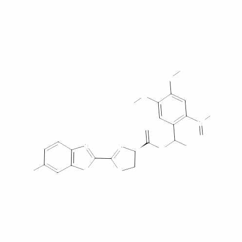 COc1cc(C(C)OC(=O)[C@H]2CSC(c3nc4ccc(O)cc4s3)=N2)c([N+](=O)[O-])cc1OC